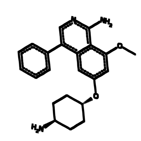 COc1cc(O[C@H]2CC[C@H](N)CC2)cc2c(-c3ccccc3)cnc(N)c12